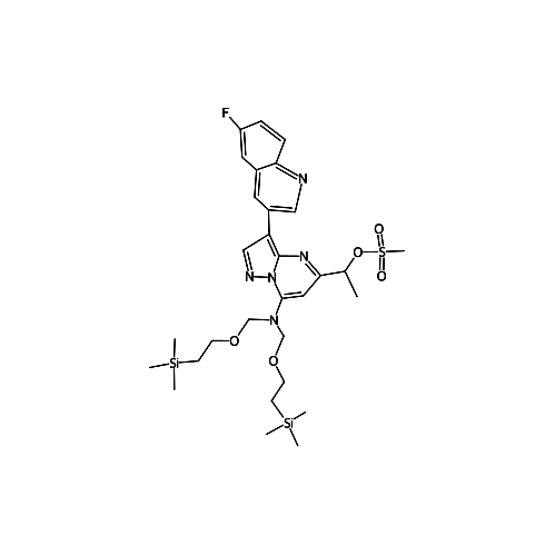 CC(OS(C)(=O)=O)c1cc(N(COCC[Si](C)(C)C)COCC[Si](C)(C)C)n2ncc(-c3cnc4ccc(F)cc4c3)c2n1